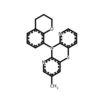 Cc1cnc2c(c1)Sc1cccnc1N2c1cccc2c1OCCC2